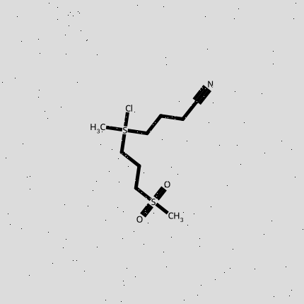 CS(Cl)(CCCC#N)CCCS(C)(=O)=O